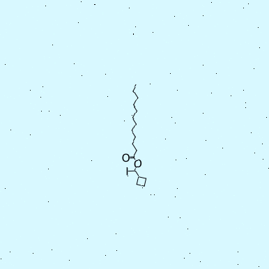 CCCCCCCCCCCC(=O)OC(I)C1CCC1